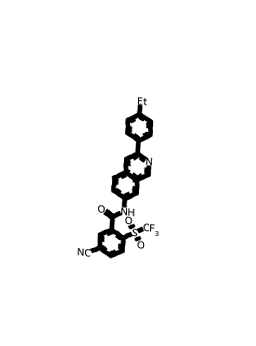 CCc1ccc(-c2cc3ccc(NC(=O)c4cc(C#N)ccc4S(=O)(=O)C(F)(F)F)cc3cn2)cc1